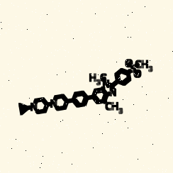 Cc1cc(-c2ccc(C3CCN(C4CCN(C5CC5)CC4)CC3)cc2)cc2c1nc(-c1ccc(S(C)(=O)=O)cc1)n2C